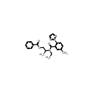 CCN(C(=O)c1cc(C)ccc1-n1nccn1)C(C)COC(=O)c1ccccc1